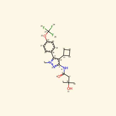 Cn1nc(NC(=O)CC(C)(C)O)c(C2CCC2)c1-c1ccc(OC(F)(F)F)cc1